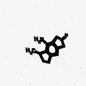 CC1CCc2cc3c(c(N)c21)CC(F)C3